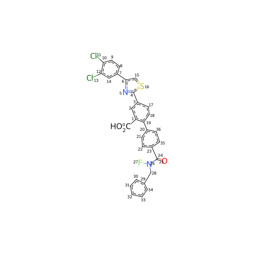 O=C(O)c1cc(-c2nc(-c3ccc(Cl)c(Cl)c3)cs2)ccc1-c1ccc(C(=O)N(F)Cc2ccccc2)cc1